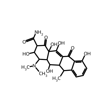 CC1c2cccc(O)c2C(=O)C2=C(O)C3(O)C(=O)C(C(N)=O)C(O)C(N(C)C)C3C(O)C21